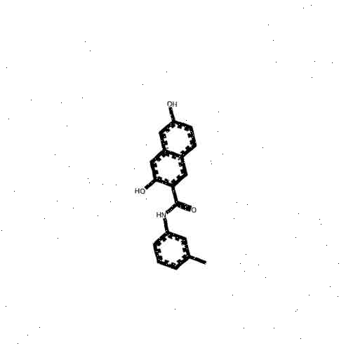 Cc1cccc(NC(=O)c2cc3ccc(O)cc3cc2O)c1